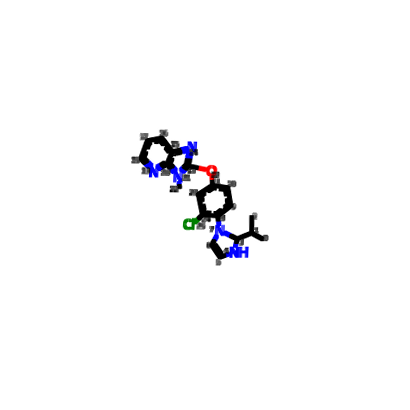 CC(C)C1NC=CN1c1ccc(Oc2nc3cccnc3n2C)cc1Cl